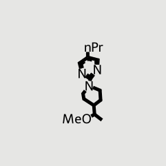 CCCc1cnc(N2CCC(C(C)OC)CC2)nc1